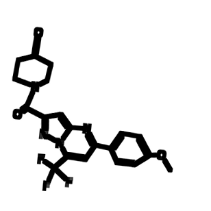 COc1ccc(-c2cc(C(F)(F)F)n3nc(C(=O)N4CCC(=O)CC4)cc3n2)cc1